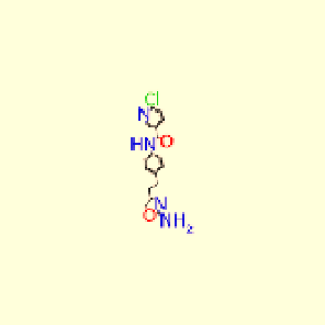 NC1=NC(CCc2ccc(NC(=O)c3ccc(Cl)nc3)cc2)CO1